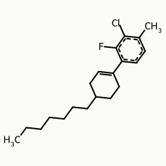 CCCCCCCC1CC=C(c2ccc(C)c(Cl)c2F)CC1